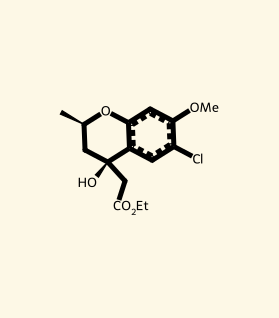 CCOC(=O)C[C@]1(O)C[C@@H](C)Oc2cc(OC)c(Cl)cc21